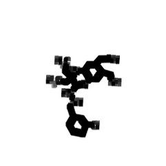 CCC1(CC)Nc2cc(C=N)c(C=N)cc2N=C1NNCc1cccc(Cl)c1